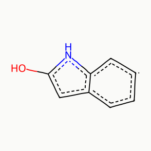 Oc1cc2cc[c]cc2[nH]1